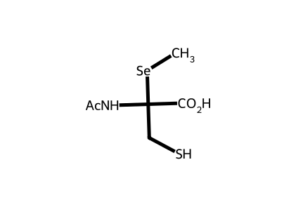 C[Se]C(CS)(NC(C)=O)C(=O)O